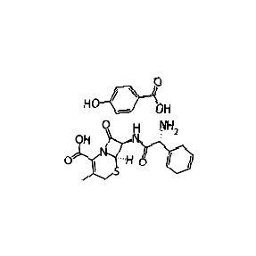 CC1=C(C(=O)O)N2C(=O)[C@@H](NC(=O)[C@H](N)C3=CCC=CC3)[C@H]2SC1.O=C(O)c1ccc(O)cc1